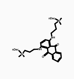 CCCCCCCCCC[N+](C)(C)CCCNc1ccc(NCCC[N+](C)(C)CCCCCCCCCC)c2c1C(=O)c1ccccc1C2=O